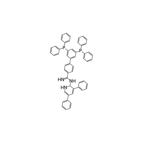 N=C(NC1NC=C(c2ccccc2)C=C1c1ccccc1)c1ccc(-c2cc(P(c3ccccc3)c3ccccc3)cc(P(c3ccccc3)c3ccccc3)c2)cc1